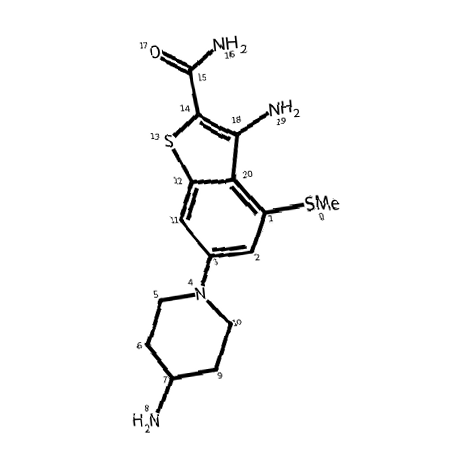 CSc1cc(N2CCC(N)CC2)cc2sc(C(N)=O)c(N)c12